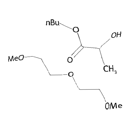 CCCCOC(=O)C(C)O.COCCOCCOC